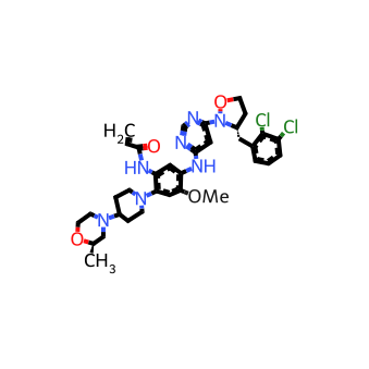 C=CC(=O)Nc1cc(Nc2cc(N3OCC[C@@H]3Cc3cccc(Cl)c3Cl)ncn2)c(OC)cc1N1CCC(N2CCO[C@H](C)C2)CC1